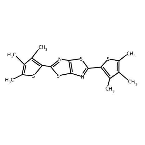 Cc1sc(-c2nc3sc(-c4sc(C)c(C)c4C)nc3s2)c(C)c1C